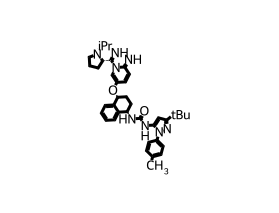 Cc1ccc(-n2nc(C(C)(C)C)cc2NC(=O)N[C@H]2CC[C@@H](Oc3ccc(=N)n(C(=N)[C@@H]4CCCN4C(C)C)c3)c3ccccc32)cc1